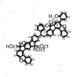 CCCCCCCCC1(CCCCCCCC)c2cc(C(Cc3ccc4c(c3)C(C)(C)c3cc(-c5ccccc5C)c5oc6ccccc6c5c3-4)c3ccccc3)ccc2-c2cc3c(cc21)-c1c(ccc2oc4ccccc4c12)C3(CCCCCCCC)CCCCCCCC